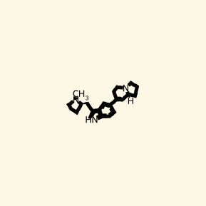 CN1CCC[C@@H]1Cc1c[nH]c2ccc(C3=C[C@@H]4CCCN4CC3)cc12